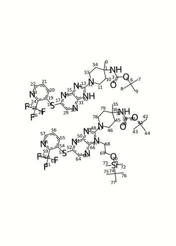 CC1(NC(=O)OC(C)(C)C)CCN(c2nc3nc(Sc4cccnc4C(F)(F)F)cnc3[nH]2)CC1.CC1(NC(=O)OC(C)(C)C)CCN(c2nc3nc(Sc4cccnc4C(F)(F)F)cnc3n2CCO[Si](C)(C)C(C)(C)C)CC1